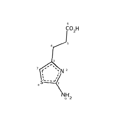 Nc1nc(CCC(=O)O)cs1